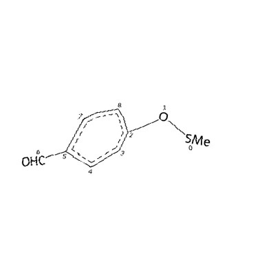 CSOc1ccc(C=O)cc1